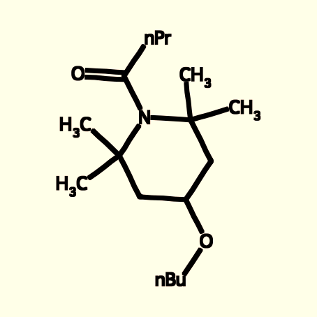 CCCCOC1CC(C)(C)N(C(=O)CCC)C(C)(C)C1